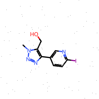 Cn1nnc(-c2ccc(I)nc2)c1CO